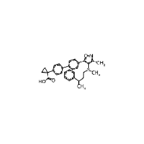 Cc1noc(-c2ccc(-c3ccc(C4(C(=O)O)CC4)cc3)cc2)c1N(C)CCC(C)c1ccccc1